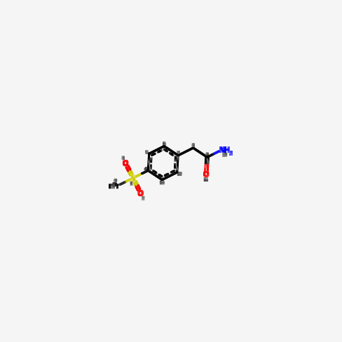 CCCS(=O)(=O)c1ccc(CC(N)=O)cc1